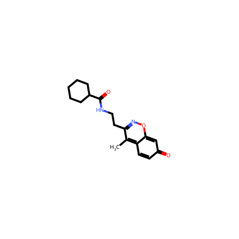 Cc1c2ccc(=O)cc-2onc1CCNC(=O)C1CCCCC1